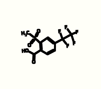 CS(=O)(=O)c1cc(C(F)(F)C(F)(F)F)ccc1C(=O)O